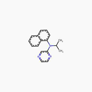 CC(C)N(c1cnccn1)c1cccc2ccccc12